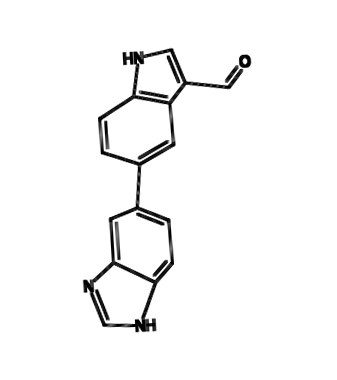 O=Cc1c[nH]c2ccc(-c3ccc4[nH]cnc4c3)cc12